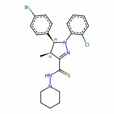 C[C@@H]1C(C(=S)NN2CCCCC2)=NN(c2ccccc2Cl)[C@@H]1c1ccc(Br)cc1